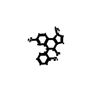 Cn1cnc2c1-c1ccc(C(F)(F)F)nc1N(c1ccccc1C(F)(F)F)C2O